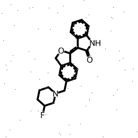 O=C1Nc2ccccc2/C1=C1\OCc2cc(CN3CCCC(F)C3)ccc21